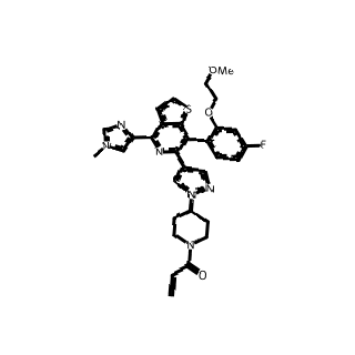 C=CC(=O)N1CCC(n2cc(-c3nc(-c4cn(C)cn4)c4ccsc4c3-c3ccc(F)cc3OCCOC)cn2)CC1